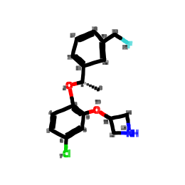 C[C@H](Oc1ccc(Cl)cc1OC1CNC1)c1cccc(CF)c1